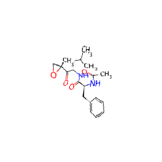 CC(=O)N[C@@H](Cc1ccccc1)C(=O)N[C@@H](CC(C)C)C(=O)[C@@]1(C)CO1